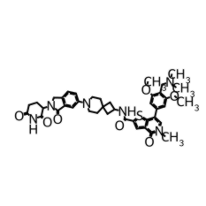 COc1cc(-c2cn(C)c(=O)c3cc(C(=O)NC4CC5(CCN(c6ccc7c(c6)C(=O)N(C6CCC(=O)NC6=O)C7)CC5)C4)sc23)cc(OC)c1CN(C)C